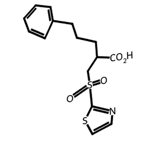 O=C(O)C(CCCc1ccccc1)CS(=O)(=O)c1nccs1